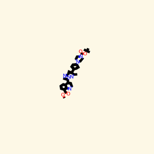 COC(=O)c1cccc2c(-c3cnc4cc(-c5ccc(N6CCN(C(=O)OC(C)(C)C)CC6)cc5)c(C)nn34)ccnc12